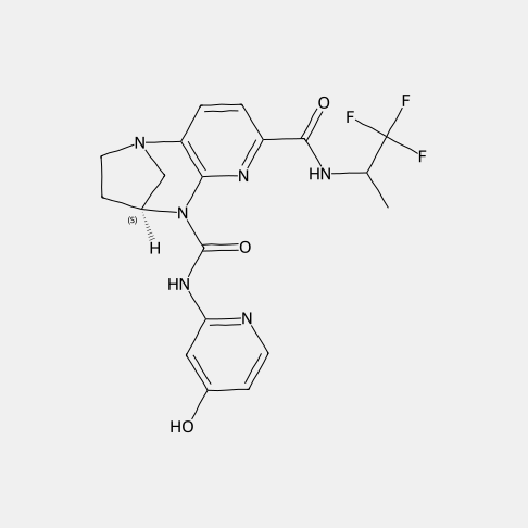 CC(NC(=O)c1ccc2c(n1)N(C(=O)Nc1cc(O)ccn1)[C@H]1CCN2C1)C(F)(F)F